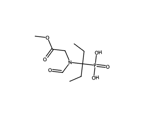 CCC(CC)(N(C=O)CC(=O)OC)P(=O)(O)O